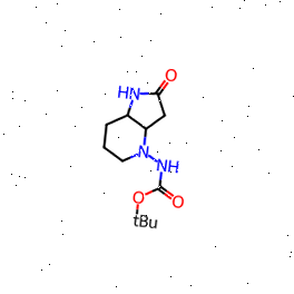 CC(C)(C)OC(=O)NN1CCCC2NC(=O)CC21